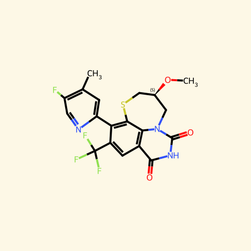 CO[C@@H]1CSc2c(-c3cc(C)c(F)cn3)c(C(F)(F)F)cc3c(=O)[nH]c(=O)n(c23)C1